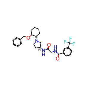 O=C(CNC(=O)c1cccc(C(F)(F)F)c1)N[C@@H]1CCN([C@H]2CCCCC2OCc2ccccc2)C1